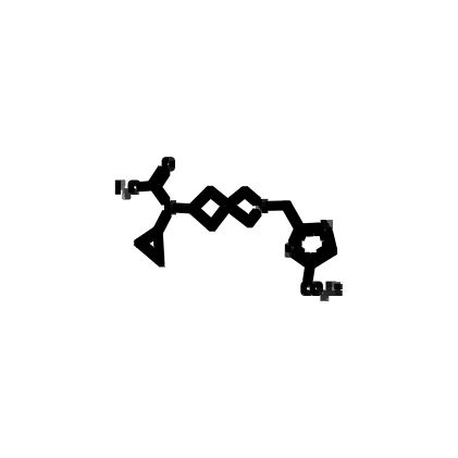 CCOC(=O)c1cnc(CN2CC3(CC(N(C(=O)C(F)(F)F)C4CC4)C3)C2)s1